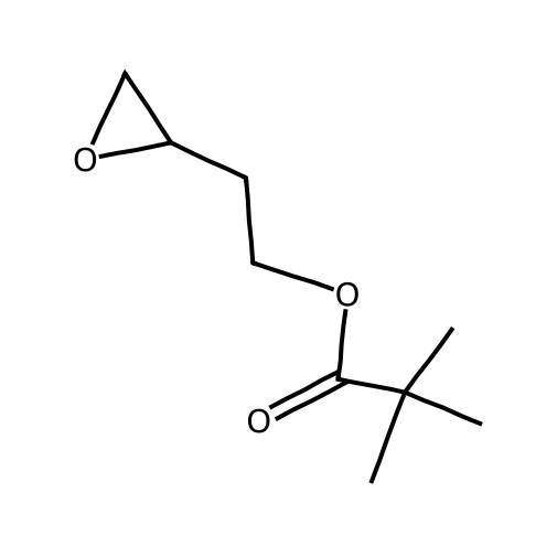 CC(C)(C)C(=O)OCCC1CO1